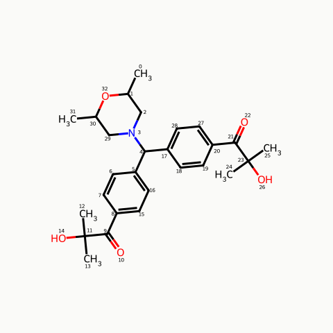 CC1CN(C(c2ccc(C(=O)C(C)(C)O)cc2)c2ccc(C(=O)C(C)(C)O)cc2)CC(C)O1